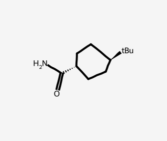 CC(C)(C)[C@H]1CC[C@H](C(N)=O)CC1